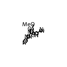 COCCCn1c(=O)nc(-c2cnc(N3CCN(C)CC3)cn2)c2oc3ncc(-c4cnn(C)c4)cc3c21